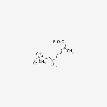 CCOC(=O)C=C(C)C=CCCC(C)CCCC(C)(C)OCC